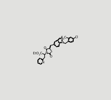 CCOC(=O)C(Cc1ccccn1)N1C(=O)S/C(=C\c2ccc3c(cnn3Cc3ccc(Cl)cc3C(F)(F)F)c2)C1=O